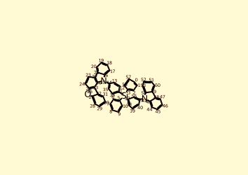 c1ccc([Si](c2ccccc2)(c2ccc(-n3c4ccccc4c4ccc5oc6ccccc6c5c43)cc2)c2cccc(-n3c4ccccc4c4ccccc43)c2)cc1